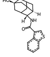 O=C(N[C@@H]1C2CC3C[C@@H]1C[C@@](O)(C3)C2)c1csc2ccccc12